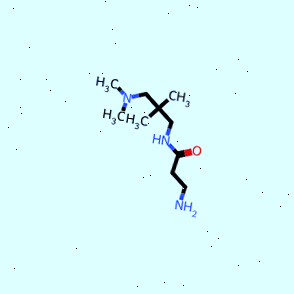 CN(C)CC(C)(C)CNC(=O)CCN